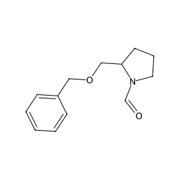 O=CN1CCCC1COCc1ccccc1